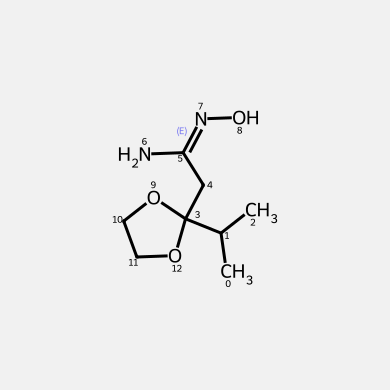 CC(C)C1(C/C(N)=N\O)OCCO1